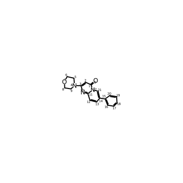 O=c1cc(N2CCOCC2)nc2ccc(-c3ccccc3)cn12